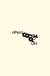 C=C(C)C(=O)OCCc1cc2cc(CCCCC)ccc2cc1-c1ccc(CO)cc1